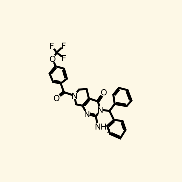 Nc1nc2c(c(=O)n1C(c1ccccc1)c1ccccc1)CCN(C(=O)c1ccc(OC(F)(F)F)cc1)C2